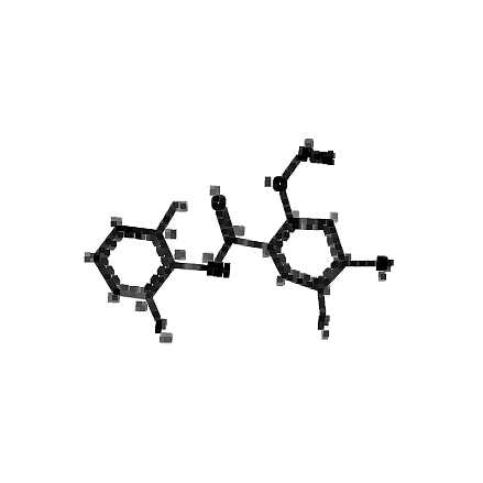 CCCC(C)Oc1cc(Br)c(F)cc1C(=O)Nc1c(C)cccc1F